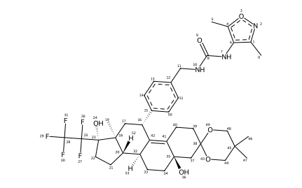 Cc1noc(C)c1NC(=O)NCc1ccc([C@H]2C[C@@]3(C)[C@@H](CC[C@@]3(O)C(F)(F)C(F)(F)F)[C@@H]3CC[C@@]4(O)CC5(CCC4=C32)OCC(C)(C)CO5)cc1